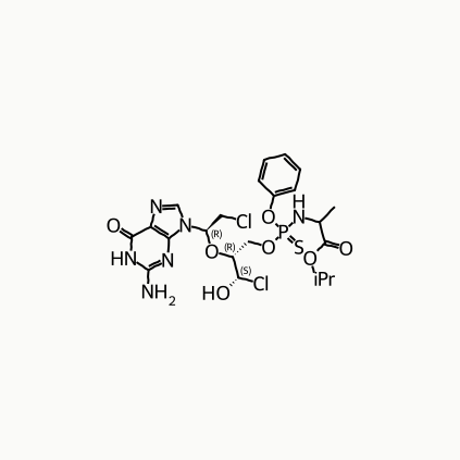 CC(C)OC(=O)C(C)NP(=S)(OC[C@@H](O[C@H](CCl)n1cnc2c(=O)[nH]c(N)nc21)[C@@H](O)Cl)Oc1ccccc1